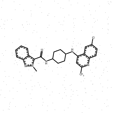 Cn1nc2ccccc2c1C(=O)NC1CCC(Nc2cc(C(F)(F)F)nc3ccc(Cl)cc23)CC1